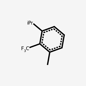 [CH2]C(C)c1cccc(C)c1C(F)(F)F